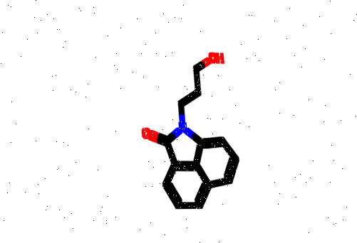 O=C1c2cccc3cccc(c23)N1CCCO